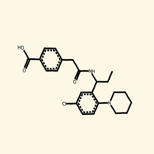 CCC(NC(=O)Cc1ccc(C(=O)O)cc1)c1cc(Cl)ccc1N1CCCCC1